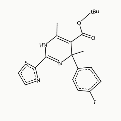 CC1=C(C(=O)OC(C)(C)C)C(C)(c2ccc(F)cc2)N=C(c2nccs2)N1